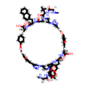 CN[C@@H](C)C(=O)N[C@H](C(=O)N1C[C@@H]2C[C@H]1C(=O)N[C@@H](Cc1ccc3ccccc3c1)C(=O)N[C@H](C(=O)O)Cc1ccc(cc1)OCc1ccc(cc1)-c1cn(nn1)[C@H]1C[C@@H](C(=O)N[C@@H](Cc3ccc4ccccc4c3)C(=O)N[C@H](C(=O)O)Cc3ccc(cc3)OCc3cn2nn3)N(C(=O)[C@@H](NC(=O)[C@H](C)NC)C(C)(C)C)C1)C(C)(C)C